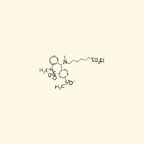 CCOC(=O)CCCCCCN(I)C1c2ccccc2N(C)S(=O)(=O)c2cc([S+](C)[O-])ccc21